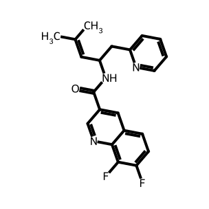 CC(C)=CC(Cc1ccccn1)NC(=O)c1cnc2c(F)c(F)ccc2c1